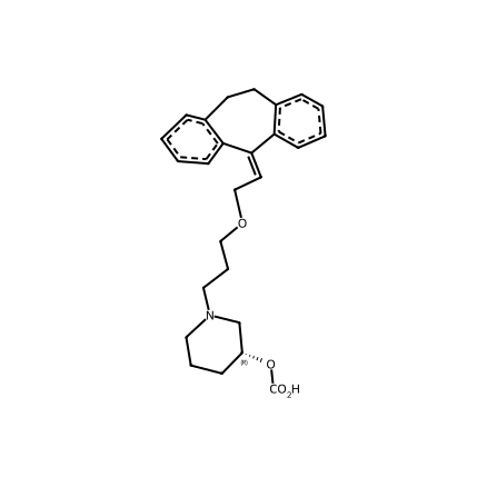 O=C(O)O[C@@H]1CCCN(CCCOCC=C2c3ccccc3CCc3ccccc32)C1